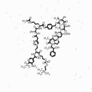 CC[C@H](C)[C@@H]([C@@H](CC(=O)N1CCC[C@H]1[C@H](OC)[C@@H](C)C(=O)N[C@H](C)[C@@H](O)c1ccccc1)OC)N(C)C(=O)[C@@H](NC(=O)[C@H](C(C)C)N(C)C(=O)OCc1ccc(NC(=O)[C@H](CCCNC(N)=O)NC(=O)[C@@H](NC(=O)Cc2cn(CC[C@H](NC(=O)c3cnc(S(C)(=O)=O)c([N+](=O)[O-])c3)C(=O)NCCOP(=O)([O-])OCC[N+](C)(C)C)nn2)C(C)C)cc1)C(C)C